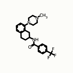 CN1CCN(c2cccc3c2CC(NC(=O)c2ccc(C(F)(F)F)cc2)CC3)CC1